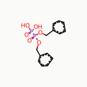 O=P(O)(O)P(=O)(OCc1ccccc1)OCc1ccccc1